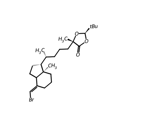 C[C@H](CCC[C@]1(C)O[C@@H](C(C)(C)C)OC1=O)[C@H]1CCC2C(=CBr)CCC[C@@]21C